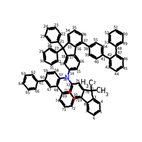 CC1(C)c2ccccc2-c2ccc(N(c3ccc4c(c3)C(c3ccccc3)(c3ccccc3)c3cccc(-c5ccc(-c6ccccc6-c6ccccc6)cc5)c3-4)c3ccc(-c4ccccc4)cc3-c3ccccc3)cc21